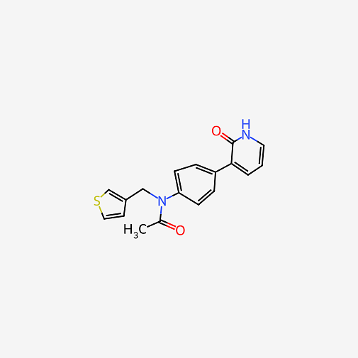 CC(=O)N(Cc1ccsc1)c1ccc(-c2ccc[nH]c2=O)cc1